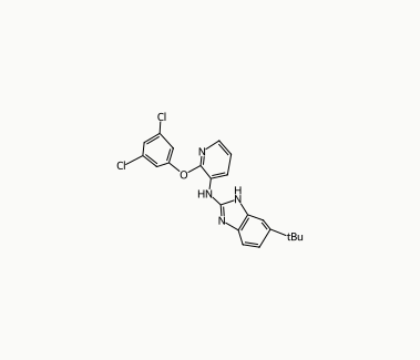 CC(C)(C)c1ccc2nc(Nc3cccnc3Oc3cc(Cl)cc(Cl)c3)[nH]c2c1